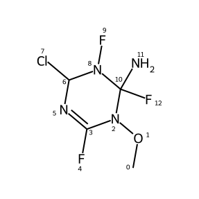 CON1C(F)=NC(Cl)N(F)C1(N)F